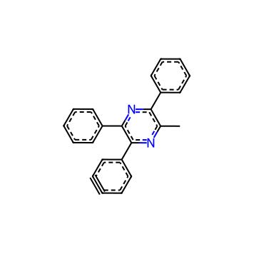 Cc1nc(-c2cc#ccc2)c(-c2ccccc2)nc1-c1ccccc1